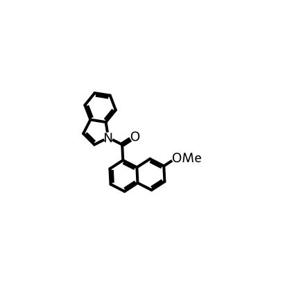 COc1ccc2cccc(C(=O)n3ccc4ccccc43)c2c1